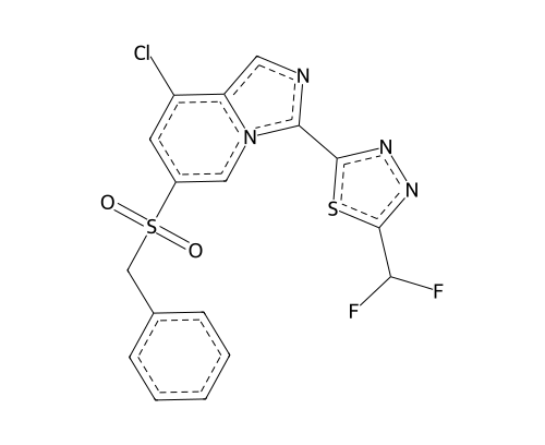 O=S(=O)(Cc1ccccc1)c1cc(Cl)c2cnc(-c3nnc(C(F)F)s3)n2c1